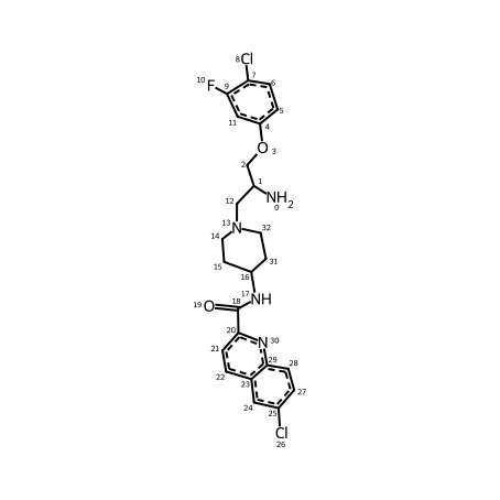 NC(COc1ccc(Cl)c(F)c1)CN1CCC(NC(=O)c2ccc3cc(Cl)ccc3n2)CC1